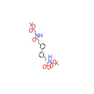 COC(=O)[C@H](CCc1cccc(-c2cccc(CCC(=O)NCCC(=O)OC(C)(C)C)c2)c1)NC(=O)OC(C)(C)C